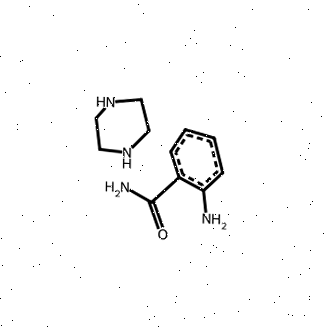 C1CNCCN1.NC(=O)c1ccccc1N